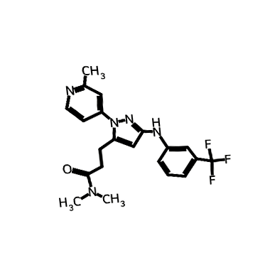 Cc1cc(-n2nc(Nc3cccc(C(F)(F)F)c3)cc2CCC(=O)N(C)C)ccn1